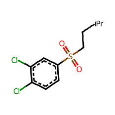 CC(C)CCS(=O)(=O)c1ccc(Cl)c(Cl)c1